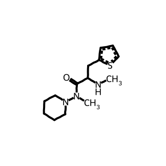 CNC(Cc1cccs1)C(=O)N(C)N1CCCCC1